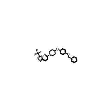 FC(F)(F)c1nnc2ccc(N3CCC(Oc4ccc(OCc5ccccc5)cc4)CC3)nn12